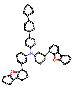 c1ccc(-c2ccc(-c3ccc(N(c4cccc(-c5cccc6c5oc5ccccc56)c4)c4cccc(-c5cccc6c5oc5ccccc56)c4)cc3)cc2)cc1